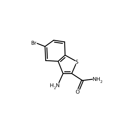 NC(=O)c1sc2ccc(Br)cc2c1N